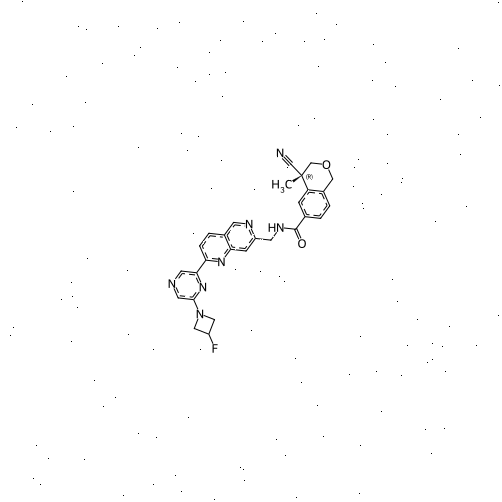 C[C@@]1(C#N)COCc2ccc(C(=O)NCc3cc4nc(-c5cncc(N6CC(F)C6)n5)ccc4cn3)cc21